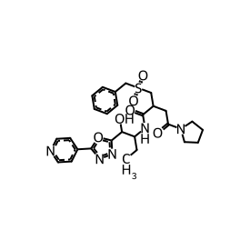 CCC(NC(=O)C(CC(=O)N1CCCC1)CS(=O)(=O)Cc1ccccc1)C(O)c1nnc(-c2ccncc2)o1